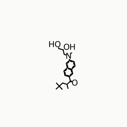 CC(CC(C)(C)C)C(=O)c1ccc2cc(N(C)CC(O)CO)ccc2c1